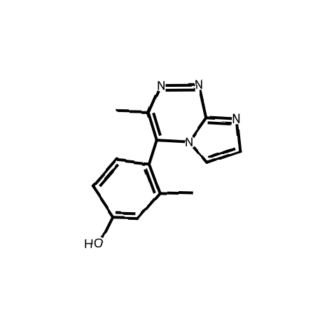 Cc1cc(O)ccc1-c1c(C)nnc2nccn12